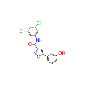 O=C(Nc1cc(Cl)cc(Cl)c1)c1cc(-c2cccc(O)c2)on1